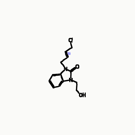 O=c1n(C/C=C/CCl)c2ccccc2n1CCO